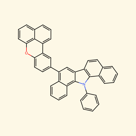 c1ccc(-n2c3c4ccccc4ccc3c3cc(-c4ccc5c(c4)-c4cccc6cccc(c46)O5)c4ccccc4c32)cc1